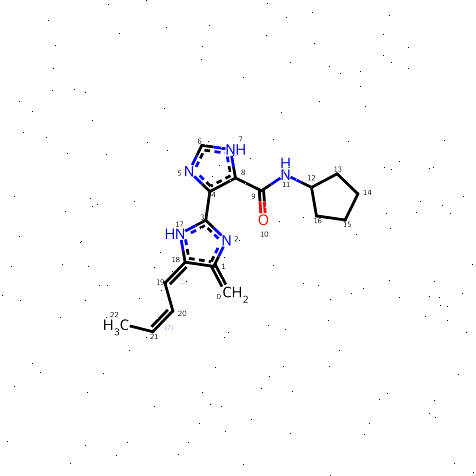 C=c1nc(-c2nc[nH]c2C(=O)NC2CCCC2)[nH]/c1=C/C=C\C